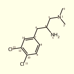 CN(C)CC(N)Cc1ccc(Cl)c(Cl)c1